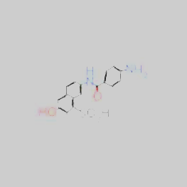 Nc1ccc(C(=O)Nc2ccc3cc(O)cc(S(=O)(=O)O)c3c2)cc1